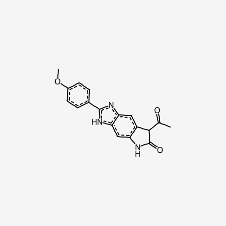 COc1ccc(-c2nc3cc4c(cc3[nH]2)NC(=O)C4C(C)=O)cc1